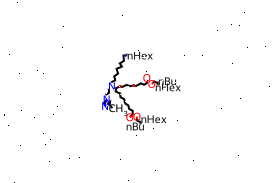 CCCCCC/C=C\CCCCCCCCN(CCCn1cnc(C)c1)C(CCCCCCCCC(=O)OCC(CCCC)CCCCCC)CCCCCCCCC(=O)OCC(CCCC)CCCCCC